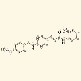 COc1ccc(CNc2ncc(C=CC(=O)Nc3ccccc3N)cn2)cc1